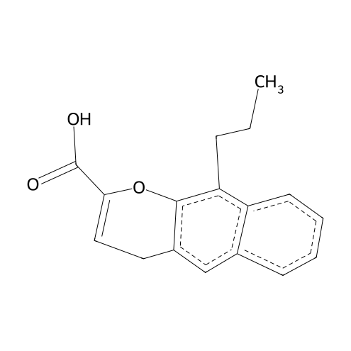 CCCc1c2c(cc3ccccc13)CC=C(C(=O)O)O2